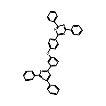 c1ccc(-c2cc(-c3cccc(Oc4ccc(-c5nc(-c6ccccc6)nc(-c6ccccc6)n5)cc4)c3)nc(-c3ccccc3)n2)cc1